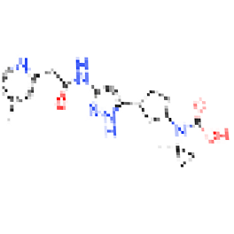 Cc1ccnc(CC(=O)Nc2cc(C3CCC(N(C(=O)O)C4(C)CC4)C3)[nH]n2)c1